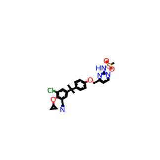 CC(C)(c1ccc(OCc2ccnc(NS(C)(=O)=O)n2)cc1)c1cc(Cl)c(OC2CC2)c(C#N)c1